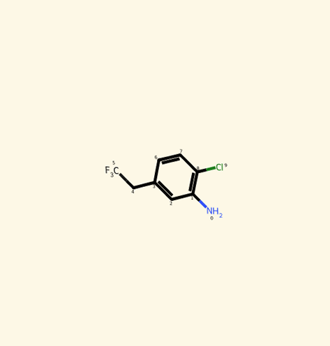 Nc1cc(CC(F)(F)F)ccc1Cl